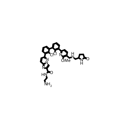 COc1nc(-c2cccc(-c3cccc(-c4ccc5nc(C(=O)NCCN)cn5n4)c3Cl)c2Cl)ccc1CNCC1CCC(=O)N1